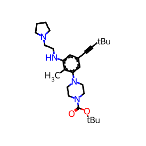 Cc1c(NCCN2CCCC2)cc(C#CC(C)(C)C)cc1N1CCN(C(=O)OC(C)(C)C)CC1